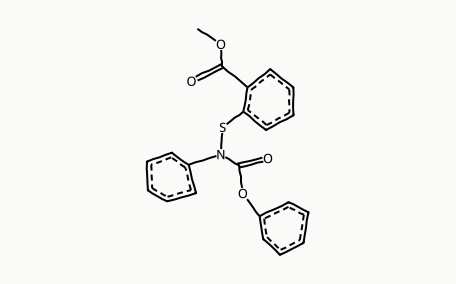 COC(=O)c1ccccc1SN(C(=O)Oc1ccccc1)c1ccccc1